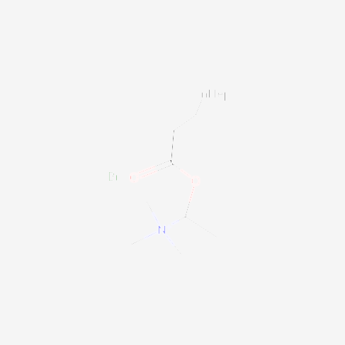 CCCCCCCCCC(=O)OC(C)[N+](C)(C)C.[Br-]